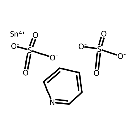 O=S(=O)([O-])[O-].O=S(=O)([O-])[O-].[Sn+4].c1ccncc1